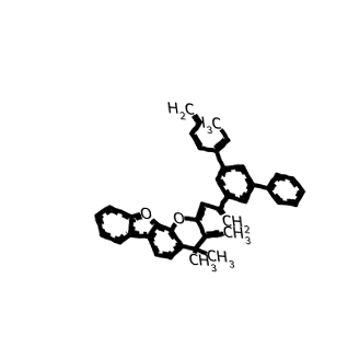 C=C/C=C\C(=C/C)c1cc(C(=C)/C=C2/Oc3c(ccc4c3oc3ccccc34)C(C)(C)/C2=C/C)cc(-c2ccccc2)c1